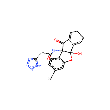 CC(C)c1ccc2c(c1)OC1(O)C3=CCCC=C3C(=O)C21NC(=O)Cc1nnn[nH]1